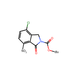 CC(C)(C)OC(=O)N1Cc2c(Cl)ccc([N+](=O)[O-])c2C1=O